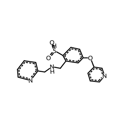 O=[SH](=O)c1ccc(Oc2cccnc2)cc1CNCc1ccccn1